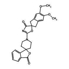 COc1cc2c(cc1OC)CC1(C2)OC(N2CCC3(CC2)OC(=O)c2ccccc23)=NC1=O